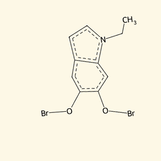 CCn1ccc2cc(OBr)c(OBr)cc21